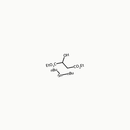 CCC[CH2][Sn][CH2]CCC.CCOC(=O)CC(O)C(=O)OCC